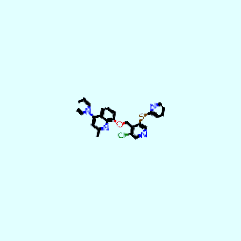 C=CN(/C=C\C)c1cc(C)nc2c(OCc3c(Cl)cncc3Sc3ccccn3)cccc12